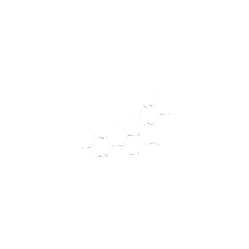 CCc1cc(C(CBr)C(=O)C(CBr)c2ccc(F)c(CC)c2)ccc1F